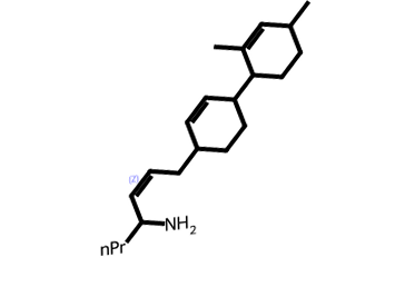 CCCC(N)/C=C\CC1C=CC(C2CCC(C)C=C2C)CC1